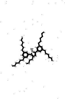 CCCCCCc1cc(CCCCCC)cc(C2=CC(CCCC)=C(c3cc(CCCCCC)cc(CCCCCC)c3)[N+]2=[N-])c1